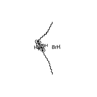 Br.CCCCCCCCC=CCCCCCCCC(=O)OC(=O)C(CO)C(NC(C)(C)C)C(=O)OC(=O)CCCCCCCC=CCCCCCCCC